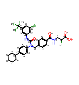 O=C(NCC(F)C(=O)O)c1ccc(CN(C(=O)Nc2cc(Br)cc(C(F)(F)F)c2)c2ccc(C3CCCCC3)cc2)cc1